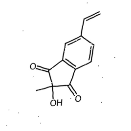 C=Cc1ccc2c(c1)C(=O)C(C)(O)C2=O